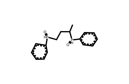 CC(CC[PH](=O)c1ccccc1)[PH](=O)c1ccccc1